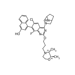 C[C@H]1OCCN(CCCOc2nc(N3CC4CCC(C3)N4)c3cc(Cl)c(-c4cc(O)cc5ccccc45)c(F)c3n2)[C@H]1C